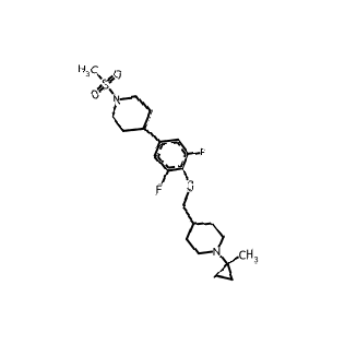 CC1(N2CCC(COc3c(F)cc(C4CCN(S(C)(=O)=O)CC4)cc3F)CC2)CC1